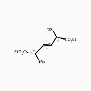 CCOC(=O)[C@@H](/C=C/[C@@H](C(=O)OCC)C(C)(C)C)C(C)(C)C